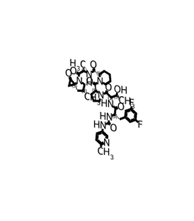 Cc1ccc(NC(=O)N[C@@H](Cc2cc(F)cc(F)c2)C(=O)N[C@H](C(=O)N2CCC[C@H]2C(=O)N2CCCC[C@H]2C(=O)N[C@@H](C)C(=O)N2C[C@H](C)C[C@@]23CC3=O)[C@H](C)O)cn1